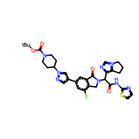 CC(C)(C)OC(=O)N1CCC(n2cc(-c3cc(F)c4c(c3)C(=O)N(C(C(=O)Nc3nccs3)c3ncn5c3CCC5)C4)cn2)CC1